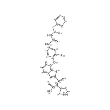 O=C(Cc1ccccc1)NC(=S)Nc1ccc(Oc2ncnc3cc(C(=O)N(C(=O)O)C4CCNC4)sc23)c(F)c1